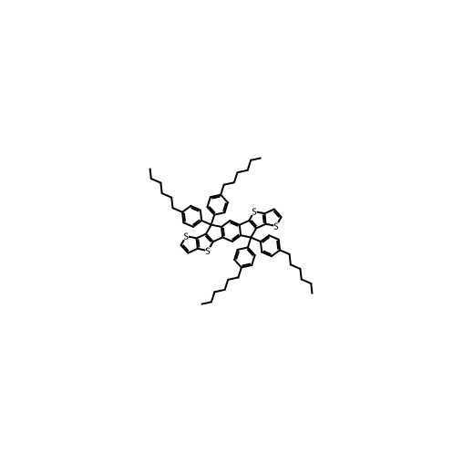 CCCCCCc1ccc(C2(c3ccc(CCCCCC)cc3)c3cc4c(cc3-c3sc5ccsc5c32)C(c2ccc(CCCCCC)cc2)(c2ccc(CCCCCC)cc2)c2c-4sc3ccsc23)cc1